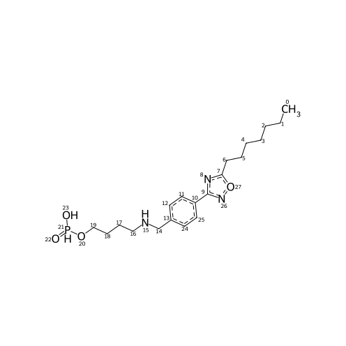 CCCCCCCc1nc(-c2ccc(CNCCCCO[PH](=O)O)cc2)no1